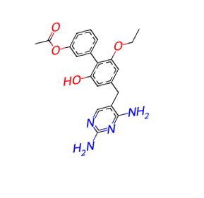 CCOc1cc(Cc2cnc(N)nc2N)cc(O)c1-c1cccc(OC(C)=O)c1